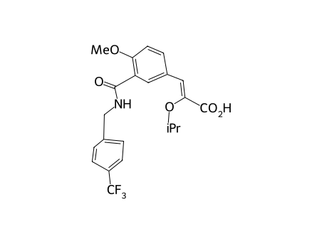 COc1ccc(C=C(OC(C)C)C(=O)O)cc1C(=O)NCc1ccc(C(F)(F)F)cc1